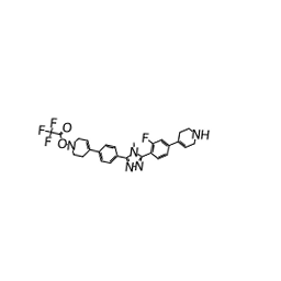 Cn1c(-c2ccc(C3=CCN(OC(=O)C(F)(F)F)CC3)cc2)nnc1-c1ccc(C2=CCNCC2)cc1F